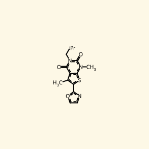 Cc1c(-c2ncco2)sc2c1c(=O)n(CC(C)C)c(=O)n2C